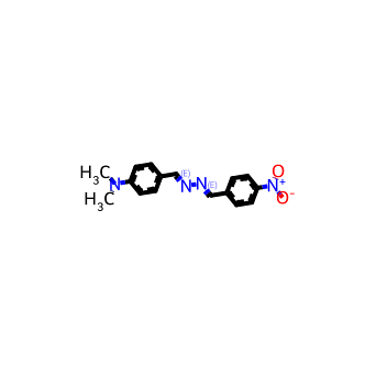 CN(C)c1ccc(/C=N/N=C/c2ccc([N+](=O)[O-])cc2)cc1